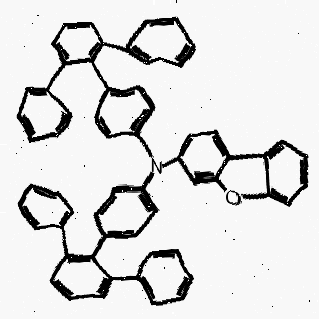 c1ccc(-c2cccc(-c3ccccc3)c2-c2ccc(N(c3ccc(-c4c(-c5ccccc5)cccc4-c4ccccc4)cc3)c3ccc4c(c3)oc3ccccc34)cc2)cc1